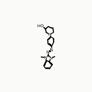 Cn1c(/N=N/c2ccc(N3CCCC(O)C3)cc2)[n+](C)c2ccccc21